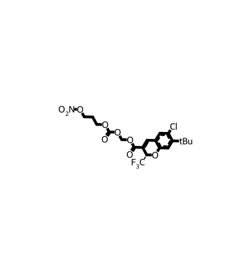 CC(C)(C)c1cc2c(cc1Cl)C=C(C(=O)OCOC(=O)OCCCO[N+](=O)[O-])[C@@H](C(F)(F)F)O2